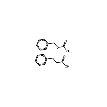 CC(=O)OCc1ccccc1.O=C(O)CCc1ccccc1